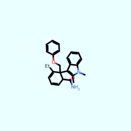 CCC1=CC=CC(C(N)=O)C1(COc1ccccc1)c1c(C)n(C)c2ccccc12